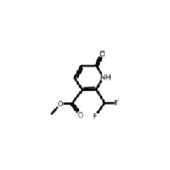 COC(=O)c1ccc(=O)[nH]c1C(F)F